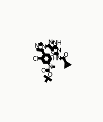 CN(C(=O)OC(C)(C)C)c1ccc(-c2cncn2-c2n[nH]c3nc(NC(=O)C4CC4)sc23)c(Cl)c1